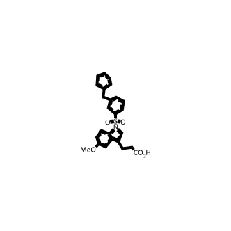 COc1ccc2c(c1)c(CCC(=O)O)cn2S(=O)(=O)c1cccc(Cc2ccccc2)c1